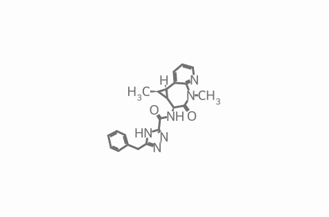 C[C@@H]1C2[C@H](NC(=O)c3nnc(Cc4ccccc4)[nH]3)C(=O)N(C)c3ncccc3[C@@H]21